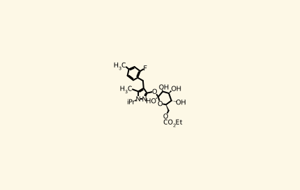 CCOC(=O)OC[C@H]1O[C@@](O)(Oc2nn(C(C)C)c(C)c2Cc2ccc(C)cc2F)[C@H](O)[C@@H](O)[C@@H]1O